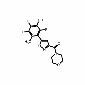 Cc1c(F)c(F)c(O)c(F)c1-c1cc(C(=O)N2CCOCC2)no1